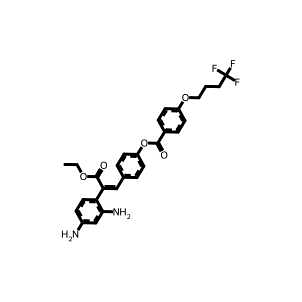 CCOC(=O)C(=Cc1ccc(OC(=O)c2ccc(OCCCC(F)(F)F)cc2)cc1)c1ccc(N)cc1N